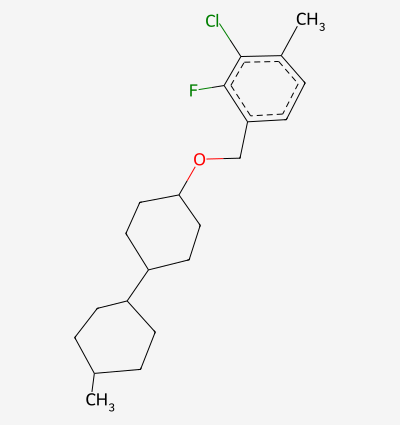 Cc1ccc(COC2CCC(C3CCC(C)CC3)CC2)c(F)c1Cl